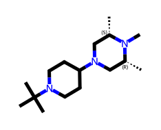 C[C@@H]1CN(C2CCN(C(C)(C)C)CC2)C[C@H](C)N1C